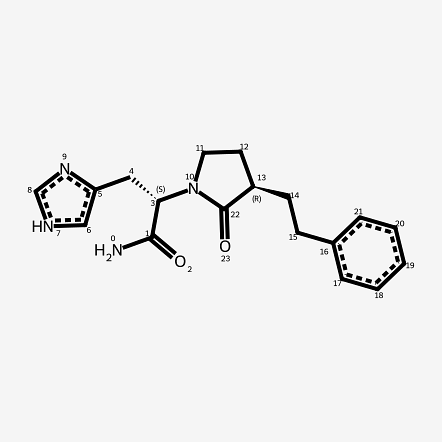 NC(=O)[C@H](Cc1c[nH]cn1)N1CC[C@@H](CCc2ccccc2)C1=O